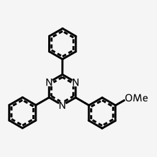 COc1cccc(-c2nc(-c3ccccc3)nc(-c3ccccc3)n2)c1